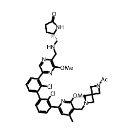 COc1nc(-c2cccc(-c3cccc(-c4cc(C)c(CN5CC6(C5)CN(C(C)=O)C6)c(OC)n4)c3Cl)c2Cl)cnc1CNC[C@@H]1CCC(=O)N1